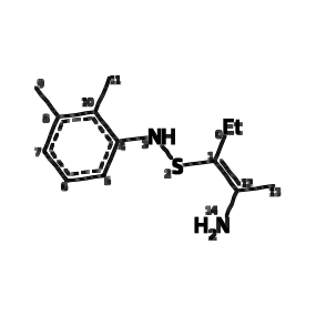 CC/C(SNc1cccc(C)c1C)=C(\C)N